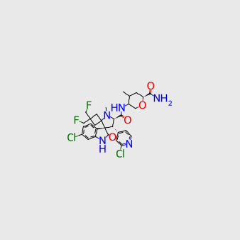 CC1C[C@@H](C(N)=O)OCC1NC(=O)[C@H]1[C@H](c2ccnc(Cl)c2)[C@]2(C(=O)Nc3cc(Cl)ccc32)C2(CC(CF)(CF)C2)N1C